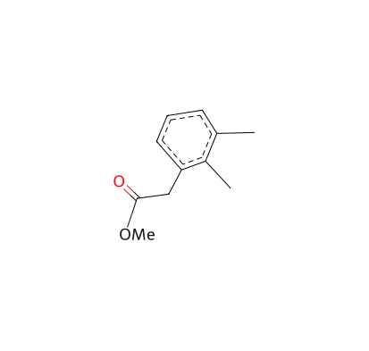 COC(=O)Cc1cccc(C)c1C